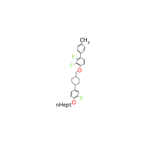 CCCCCCCOc1ccc(C2CCC(COc3ccc(-c4ccc(C)cc4)c(F)c3F)CC2)cc1F